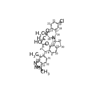 Cc1c(C(CC(=O)O)c2ccc3c(c2)C(N2Cc4cc(Cl)ccc4OC(C)(C)C2)CC3)ccc2c1nnn2C